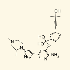 CC1CN(C)CCN1n1cc(-c2cnc(N)c(OC(O)(O)c3cccc(C#CC(C)(C)O)c3)c2)cn1